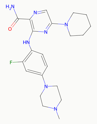 CN1CCN(c2ccc(Nc3nc(N4CCCCC4)cnc3C(N)=O)c(F)c2)CC1